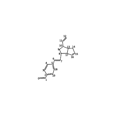 C=Cc1ccc(C=CC2CC(C=C)C3CC=CC23)cc1